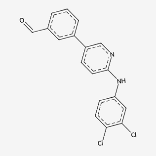 O=Cc1cccc(-c2ccc(Nc3ccc(Cl)c(Cl)c3)nc2)c1